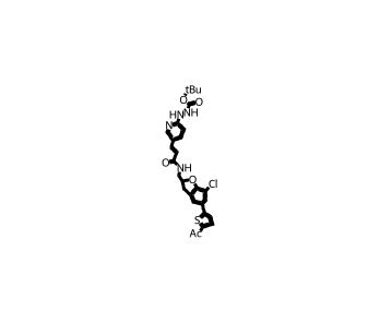 CC(=O)c1ccc(-c2cc(Cl)c3c(c2)CC(CNC(=O)C=Cc2ccc(NNC(=O)OC(C)(C)C)nc2)O3)s1